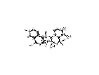 Cc1ncc2c(N[C@H]3c4ccc(Cl)c(O)c4C(C)(C)C[C@]3(O)C(F)(F)C(F)(F)F)ccc(F)c2n1